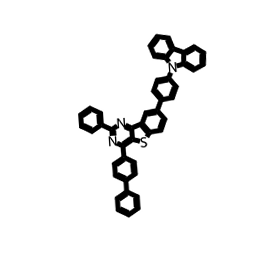 c1ccc(-c2ccc(-c3nc(-c4ccccc4)nc4c3sc3ccc(-c5ccc(-n6c7ccccc7c7ccccc76)cc5)cc34)cc2)cc1